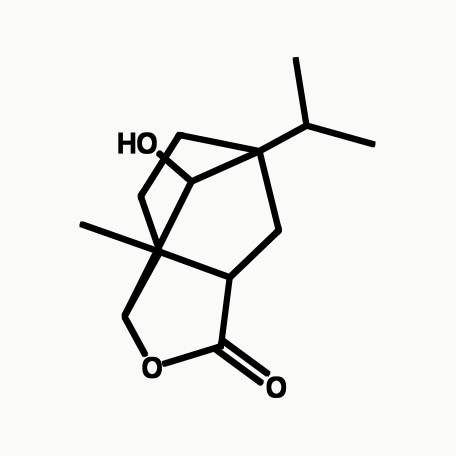 CC(C)C12CCC3(C)C(C1)C(=O)OC3C2O